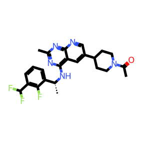 CC(=O)N1CCC(c2cnc3nc(C)nc(N[C@H](C)c4cccc(C(F)F)c4F)c3c2)CC1